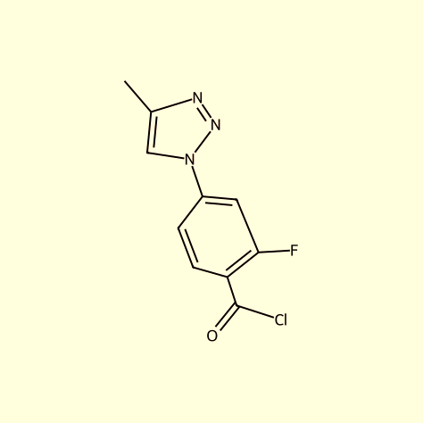 Cc1cn(-c2ccc(C(=O)Cl)c(F)c2)nn1